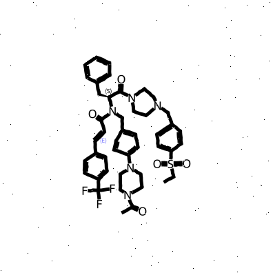 CCS(=O)(=O)c1ccc(CN2CCN(C(=O)[C@H](Cc3ccccc3)N(Cc3ccc(N4CCN(C(C)=O)CC4)cc3)C(=O)/C=C/c3ccc(C(F)(F)F)cc3)CC2)cc1